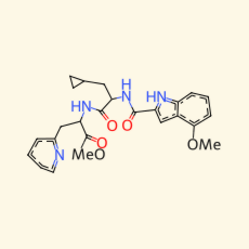 COC(=O)C(Cc1ccccn1)NC(=O)C(CC1CC1)NC(=O)c1cc2c(OC)cccc2[nH]1